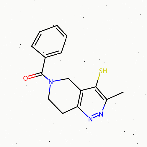 Cc1nnc2c(c1S)CN(C(=O)c1ccccc1)CC2